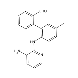 Cc1ccc(Nc2ncccc2N)c(-c2ccccc2C=O)c1